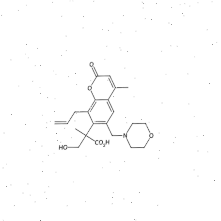 C=CCc1c(C(C)(CO)C(=O)O)c(CN2CCOCC2)cc2c(C)cc(=O)oc12